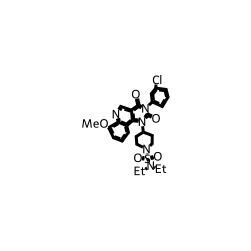 CCN(CC)S(=O)(=O)N1CCC(n2c(=O)n(-c3cccc(Cl)c3)c(=O)c3cnc4c(OC)cccc4c32)CC1